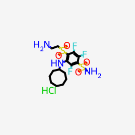 Cl.NCCS(=O)(=O)c1c(F)c(F)c(S(N)(=O)=O)c(F)c1NC1CCCCCCC1